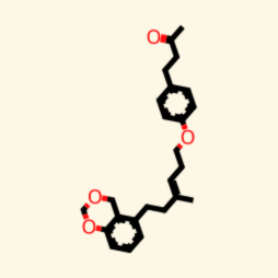 CC(=O)CCc1ccc(OCCC=C(C)CCc2cccc3c2COCO3)cc1